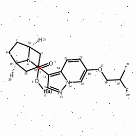 CC(C)(C)OC(=O)N1[C@@H]2CC[C@H]1CC(c1cnn3cc(OCC(F)F)ccc13)C2